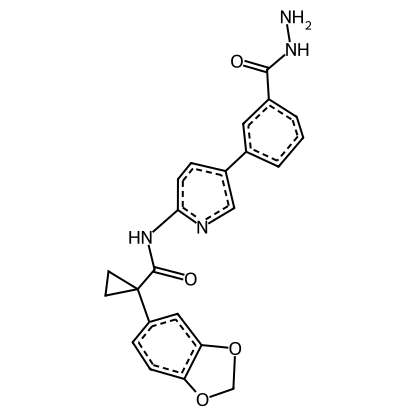 NNC(=O)c1cccc(-c2ccc(NC(=O)C3(c4ccc5c(c4)OCO5)CC3)nc2)c1